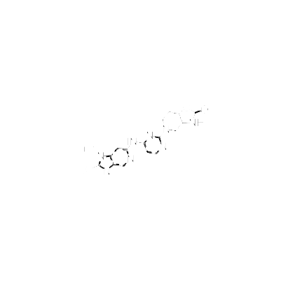 Cc1nc2cnc(Nc3ccnc(N4CCC5OC(=O)NC5C4)n3)cc2n1C(C)C